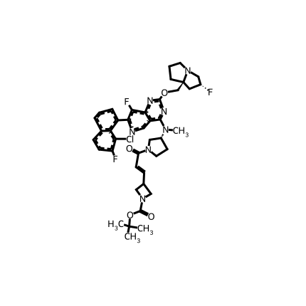 CN(c1nc(OC[C@@]23CCCN2C[C@H](F)C3)nc2c(F)c(-c3cccc4ccc(F)c(Cl)c34)ncc12)[C@@H]1CCN(C(=O)/C=C/C2CN(C(=O)OC(C)(C)C)C2)C1